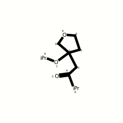 CC(C)OC1(CC(=O)C(C)C)CCOC1